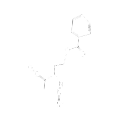 CC(=C=O)C(CCOC(=O)c1ccccc1)N=[N+]=[N-]